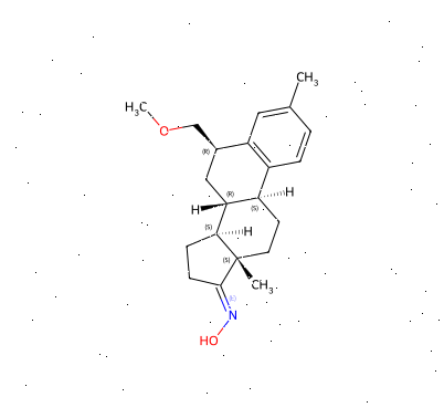 COC[C@@H]1C[C@@H]2[C@H](CC[C@]3(C)/C(=N/O)CC[C@@H]23)c2ccc(C)cc21